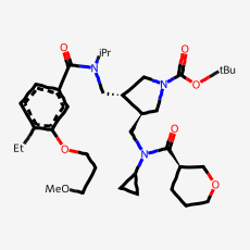 CCc1ccc(C(=O)N(C[C@@H]2CN(C(=O)OC(C)(C)C)C[C@H]2CN(C(=O)[C@@H]2CCCOC2)C2CC2)C(C)C)cc1OCCCOC